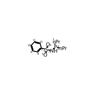 CCC[PH](CCC)=NS(=O)(=O)c1ccccc1